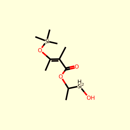 CC(O[Si](C)(C)C)=C(C)C(=O)OC(C)[SiH2]O